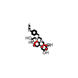 O=C(O)CN(CC(=O)O)[C@@H](Cc1ccc(N=C=S)cc1)CN(CC(=O)O)[C@@H]1CCCC[C@H]1N(CC(=O)O)CC(=O)O